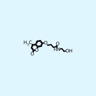 Cc1cc(=O)oc2cc(OCCCC(=O)NCCO)ccc12